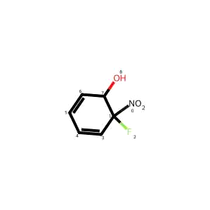 O=[N+]([O-])C1(F)C=CC=CC1O